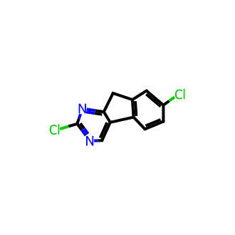 Clc1ccc2c(c1)Cc1nc(Cl)ncc1-2